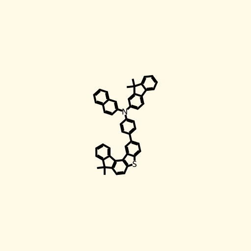 CC1(C)c2ccccc2-c2ccc(N(c3ccc(-c4ccc5sc6ccc7c(c6c5c4)-c4ccccc4C7(C)C)cc3)c3ccc4ccccc4c3)cc21